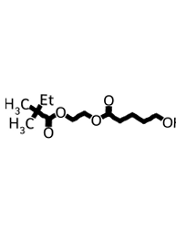 CCC(C)(C)C(=O)OCCOC(=O)CCCCO